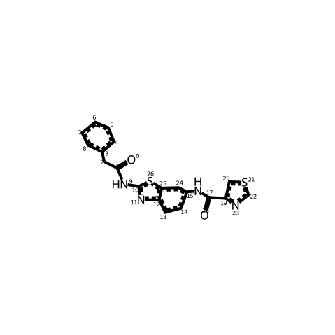 O=C(Cc1ccccc1)Nc1nc2ccc(NC(=O)c3cscn3)cc2s1